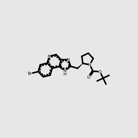 CC(C)(C)OC(=O)N1CCC[C@@H]1Cc1nc2cnc3cc(Br)ccc3c2[nH]1